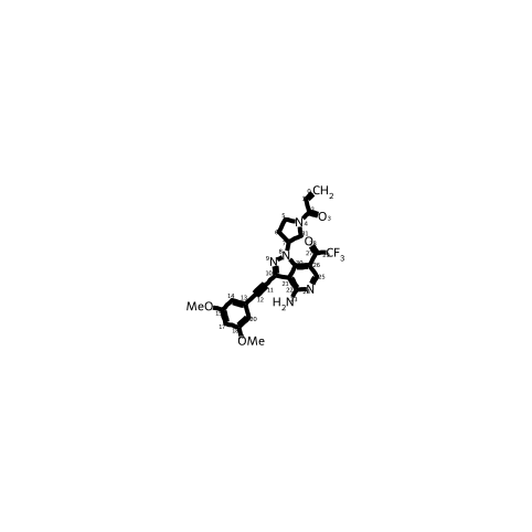 C=CC(=O)N1CCC(n2nc(C#Cc3cc(OC)cc(OC)c3)c3c(N)ncc(C(=O)C(F)(F)F)c32)C1